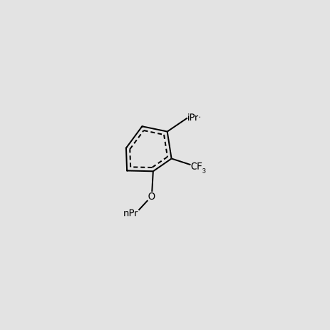 CCCOc1cccc([C](C)C)c1C(F)(F)F